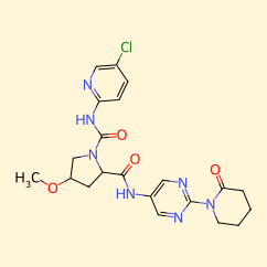 COC1CC(C(=O)Nc2cnc(N3CCCCC3=O)nc2)N(C(=O)Nc2ccc(Cl)cn2)C1